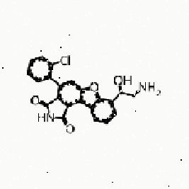 NCC(O)c1cccc2c1oc1cc(-c3ccccc3Cl)c3c(c12)C(=O)NC3=O